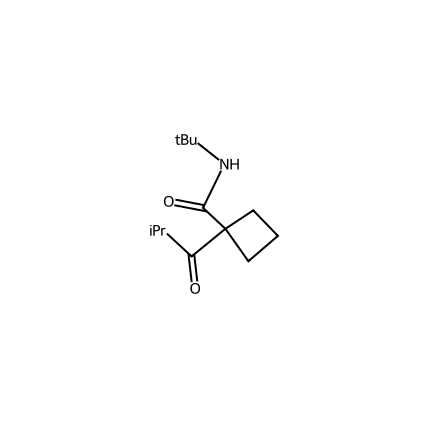 CC(C)C(=O)C1(C(=O)NC(C)(C)C)CCC1